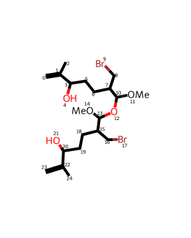 C=C(C)C(O)CCC(CBr)C(OC)OC(OC)C(CBr)CCC(O)C(=C)C